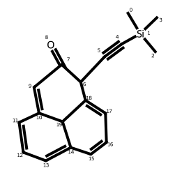 C[Si](C)(C)C#CC1C(=O)C=C2C=CC=C3C=CC=C1C32